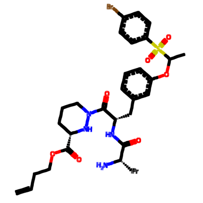 C=CCCOC(=O)[C@@H]1CCCN(C(=O)[C@H](Cc2cccc(OC(C)S(=O)(=O)c3ccc(Br)cc3)c2)NC(=O)[C@@H](N)C(C)C)N1